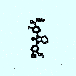 CNC(=O)c1ccc(N2C(=O)N(c3ccc(C#N)c(C(F)(F)F)c3)C3C=CCCC32)cc1F